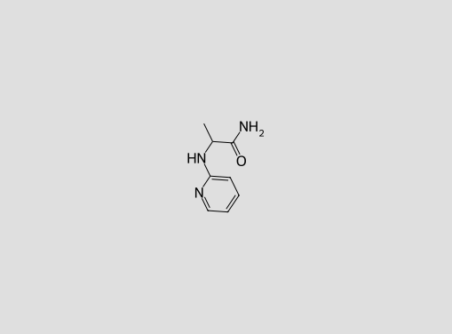 CC(Nc1ccccn1)C(N)=O